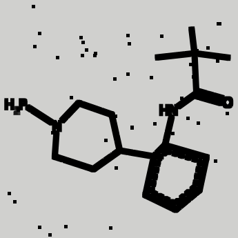 CC(C)(C)C(=O)Nc1ccccc1C1CCN(P)CC1